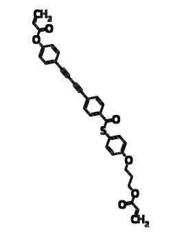 C=CC(=O)OCCCOc1ccc(SC(=O)c2ccc(C#CC#Cc3ccc(OC(=O)C=C)cc3)cc2)cc1